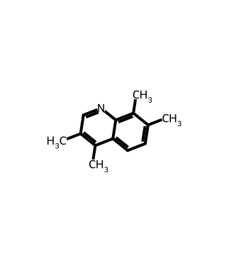 Cc1cnc2c(C)c(C)ccc2c1C